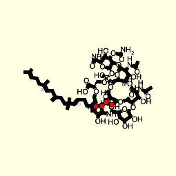 C=C(C/C=C(\C)CCC=C(C)C)CCC(C)(C)/C=C/CC/C(C)=C\CO[C@H](COP(=O)(O)O[C@H]1OC(C(N)=O)[C@@](C)(O)C(OC(N)=O)C1O[C@@H]1OC2CO[C@@H]3OC(CO)[C@@H](O)C(OC4O[C@@H](O[C@H]2C(O)C1NC(C)=O)C(NC(C)=O)C(O)[C@@H]4O[C@@H]1OC(C(=O)NC2=C(O)CCC2=O)[C@H](O)C(O)C1O)C3O)C(=O)O